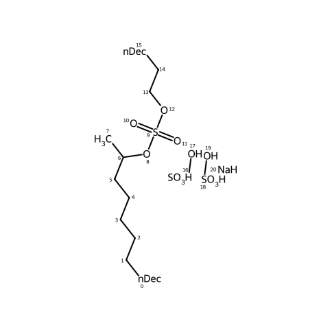 CCCCCCCCCCCCCCCC(C)OS(=O)(=O)OCCCCCCCCCCCC.O=S(=O)(O)O.O=S(=O)(O)O.[NaH]